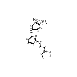 CCN(CC)CCOc1cccc(Oc2ccc(N)c(N)c2)c1